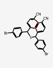 N#Cc1ccc(C(SC(c2ccc(Br)cc2)c2ccc(C#N)cc2)c2ccc(Br)cc2)cc1